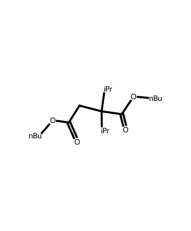 CCCCOC(=O)CC(C(=O)OCCCC)(C(C)C)C(C)C